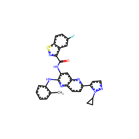 Cc1ccccc1Nc1nc2ccc(-c3ccnn3C3CC3)nc2cc1NC(=O)c1nsc2ccc(F)cc12